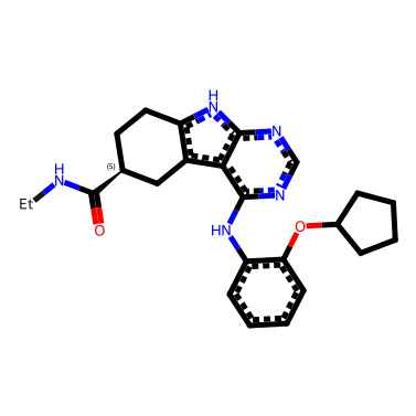 CCNC(=O)[C@H]1CCc2[nH]c3ncnc(Nc4ccccc4OC4CCCC4)c3c2C1